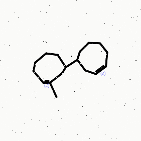 C/C1=C/CCCCC(C2C/C=C\CCCC2)C1